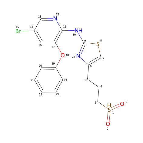 O=[SH](=O)CCCc1csc(Nc2ncc(Br)cc2Oc2ccccc2)n1